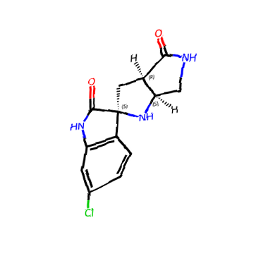 O=C1NC[C@H]2N[C@]3(C[C@@H]12)C(=O)Nc1cc(Cl)ccc13